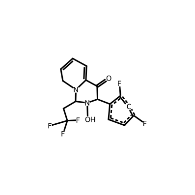 O=C1C2=CC=CCN2C(CC(F)(F)F)N(O)C1c1ccc(F)cc1F